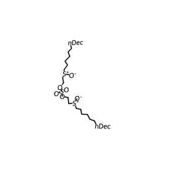 CCCCCCCCCCCCCCCC[S+]([O-])CCOS(=O)(=O)OCC[S+]([O-])CCCCCCCCCCCCCCCC